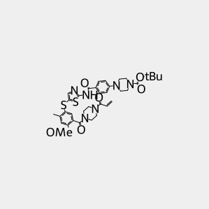 C=CC(=O)N1CCN(C(=O)c2cc(Sc3cnc(NC(=O)c4ccc(N5CCN(C(=O)OC(C)(C)C)CC5)cc4)s3)c(C)cc2OC)CC1